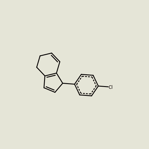 Clc1ccc(C2C=CC3=C2C=CCC3)cc1